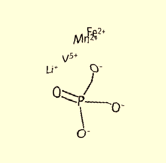 O=P([O-])([O-])[O-].[Fe+2].[Li+].[Mn+2].[V+5]